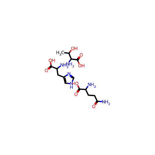 CC(O)C(N)C(=O)O.NC(=O)CCC(N)C(=O)O.NC(Cc1c[nH]cn1)C(=O)O